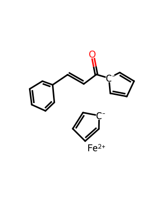 O=C(C=Cc1ccccc1)[c-]1cccc1.[Fe+2].c1cc[cH-]c1